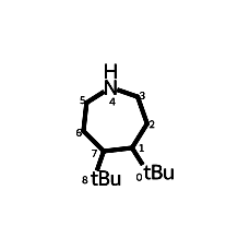 CC(C)(C)C1CCNCCC1C(C)(C)C